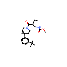 CCC(CNC(=O)OC)C(=O)N1CCC2(c3cccc(C(C)(C)C)c3)CC2C1